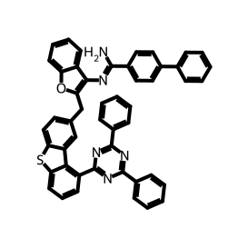 N/C(=N\c1c(Cc2ccc3sc4cccc(-c5nc(-c6ccccc6)nc(-c6ccccc6)n5)c4c3c2)oc2ccccc12)c1ccc(-c2ccccc2)cc1